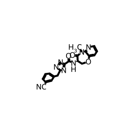 CN1C(=O)[C@@H](NC(=O)C2=NC(Cc3cccc(C#N)c3)N=N2)COc2cccnc21